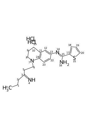 CCCC(=N)CCN1CCCc2cc(N=C(N)c3cccs3)ccc21.Cl.Cl